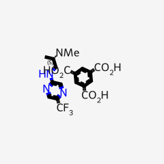 CN[C@@H](C)CNc1cnc(C(F)(F)F)cn1.O=C(O)c1cc(C(=O)O)cc(C(=O)O)c1